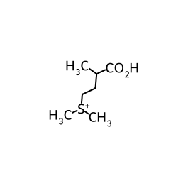 CC(CC[S+](C)C)C(=O)O